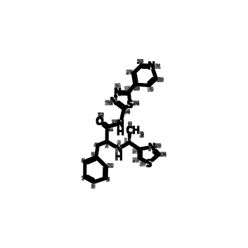 C[C@H](NC(Cc1ccccc1)C(=O)Nc1nnc(-c2ccncc2)s1)c1cscn1